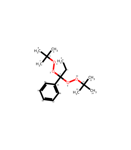 CCC(OOC(C)(C)C)(OOC(C)(C)C)c1ccccc1